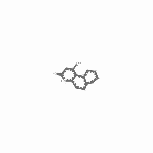 O=c1cc(O)c2c(ccc3ccccc32)[nH]1